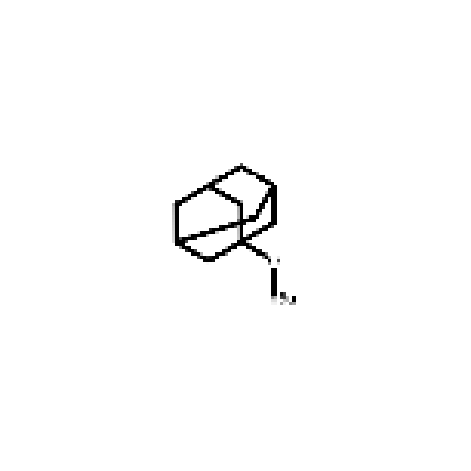 CCCCOC12CC3CC(CC(C3)C1)C2